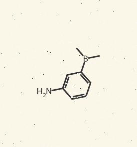 CB(C)c1cccc(N)c1